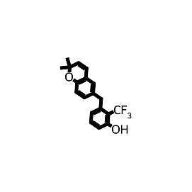 CC1(C)C=Cc2cc(Cc3cccc(O)c3C(F)(F)F)ccc2O1